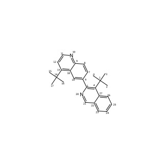 CC(C)(C)c1c(-c2ccc3nccc(C(C)(C)C)c3c2)ncc2ccccc12